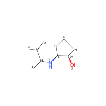 CC(C)C(C)N[C@H]1CCC[C@H]1O